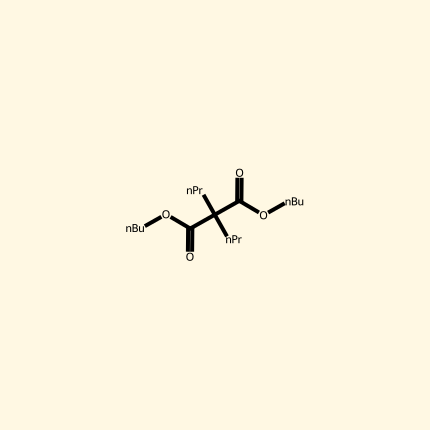 CCCCOC(=O)C(CCC)(CCC)C(=O)OCCCC